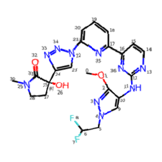 COc1nn(CC(F)F)cc1Nc1nccc(-c2cccc(-n3cc([C@]4(O)CCN(C)C4=O)nn3)n2)n1